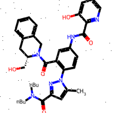 CCCCN(CCCC)C(=O)c1cc(C)n(-c2ccc(NC(=O)c3ncccc3O)cc2C(=O)N2Cc3ccccc3C[C@H]2CO)n1